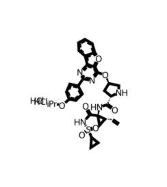 C=C[C@@H]1C[C@]1(NC(=O)[C@@H]1C[C@@H](Oc2nc(-c3ccc(OC(C)C)cc3)nc3c2oc2ccccc23)CN1)C(=O)NS(=O)(=O)C1CC1.Cl.Cl